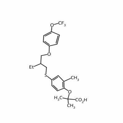 CCC(COc1ccc(OC(F)(F)F)cc1)CSc1ccc(OC(C)(C)C(=O)O)c(C)c1